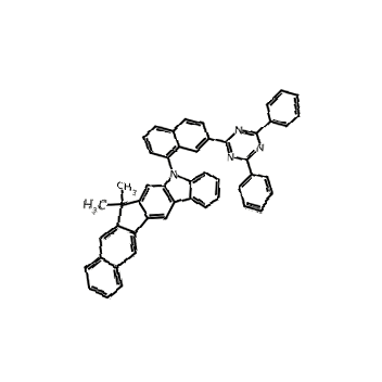 CC1(C)c2cc3ccccc3cc2-c2cc3c4ccccc4n(-c4cccc5ccc(-c6nc(-c7ccccc7)nc(-c7ccccc7)n6)cc45)c3cc21